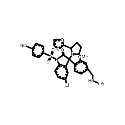 CCCNCc1ccc(C2(N3CCCC3c3ncco3)C(=O)N(S(=O)(=O)c3ccc(C#N)cc3)c3ccc(Cl)cc32)c(OC)c1